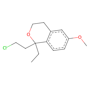 CCC1(CCCl)OCCc2cc(OC)ccc21